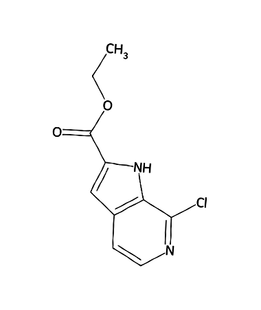 CCOC(=O)c1cc2ccnc(Cl)c2[nH]1